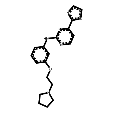 c1cc(Nc2nccc(-c3nccs3)n2)cc(OCCN2CCCC2)c1